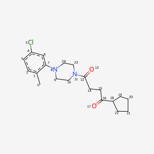 Cc1ccc(Cl)cc1N1CCN(C(=O)CCC(=O)C2CCCC2)CC1